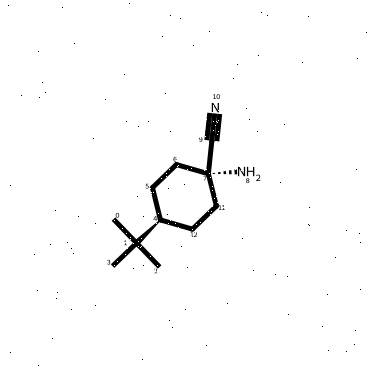 CC(C)(C)[C@H]1CC[C@@](N)(C#N)CC1